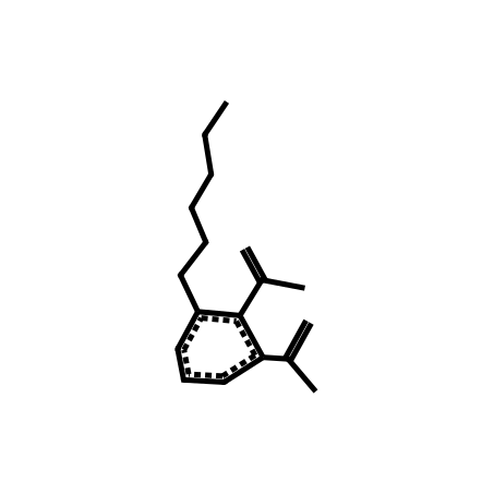 C=C(C)c1cccc(CCCCCC)c1C(=C)C